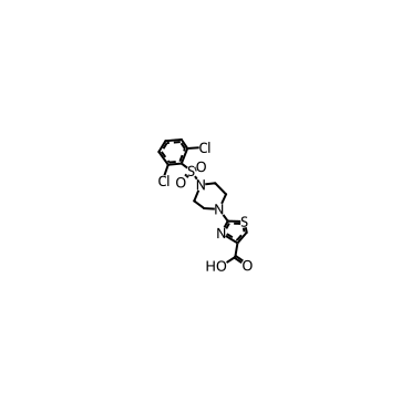 O=C(O)c1csc(N2CCN(S(=O)(=O)c3c(Cl)cccc3Cl)CC2)n1